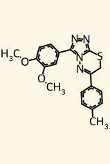 COc1ccc(-c2nnc3n2N=C(c2ccc(C)cc2)CS3)cc1OC